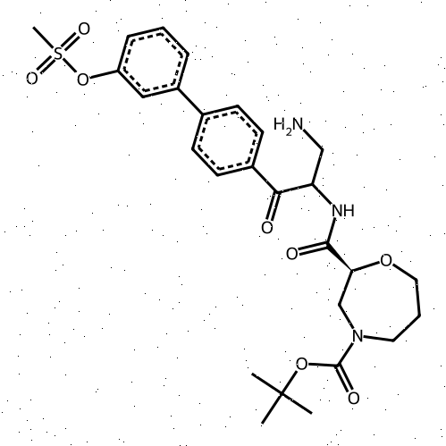 CC(C)(C)OC(=O)N1CCCO[C@H](C(=O)NC(CN)C(=O)c2ccc(-c3cccc(OS(C)(=O)=O)c3)cc2)C1